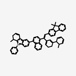 CC1CC=Cc2c1n(-c1ccccc1)c1ccc(-c3ccc(/C(=C/c4ccc5c(c4)C(C)(C)c4ccccc4-5)C4=CCCC(C5C=CC=CC5C)=C4)c4ccccc34)cc21